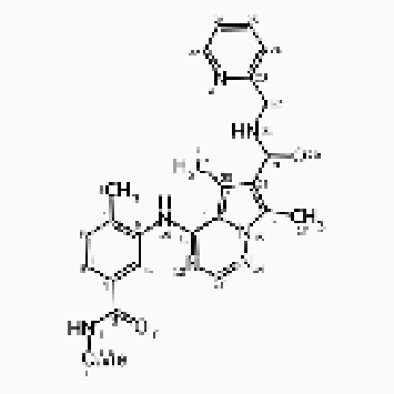 CONC(=O)c1ccc(C)c(Nc2ncnn3c(C)c(C(=O)NCc4ccccn4)c(C)c23)c1